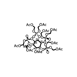 CO[C@@H]1[C@H](OC)[C@@H](OP(=O)(OCOC(C)=O)OCOC(C)=O)[C@H](OP(=O)(OCOC(C)=O)OCOC(C)=O)[C@@H](OP(=O)(OCOC(C)=O)OCOC(C)=O)[C@@H]1OP(=O)(OCOC(C)=O)OCOC(C)=O